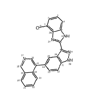 Clc1cccc2[nH]c(-c3n[nH]c4ccc(-c5cncc6ccccc56)cc34)nc12